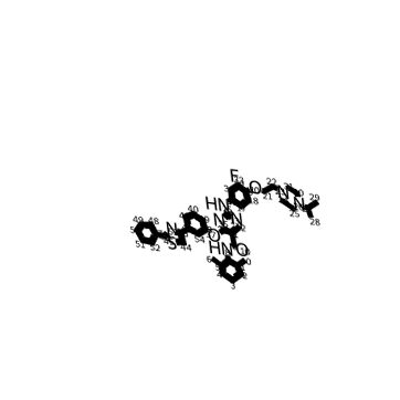 Cc1cccc(C)c1NC(=O)c1cnc(Nc2ccc(OCCN3CCN(C(C)C)CC3)c(F)c2)nc1Oc1cccc(-c2csc(-c3ccccc3)n2)c1